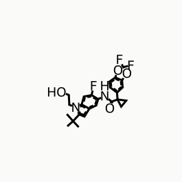 CC(C)(C)c1cc2cc(NC(=O)C3(c4ccc5c(c4)OC(F)(F)O5)CC3)c(F)cc2n1CCO